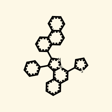 c1ccc(-c2c(-c3cccc4c3ccc3ccccc34)nn3c(-c4cccs4)cc4ccccc4c23)cc1